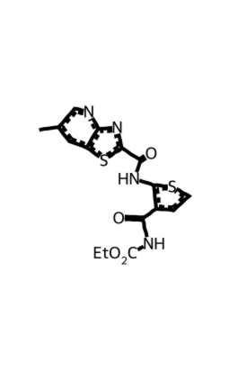 CCOC(=O)NC(=O)c1ccsc1NC(=O)c1nc2ncc(C)cc2s1